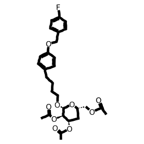 CC(=O)OC[C@@H]1C[C@H](OC(C)=O)[C@@H](OC(C)=O)[C@H](OCCCCc2ccc(OCc3ccc(F)cc3)cc2)O1